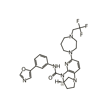 O=C(Nc1cccc(-c2cnco2)c1)N1c2nc(N3CCCN(CC(F)(F)F)CC3)ccc2N2CC[C@H]1C2